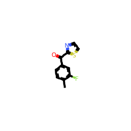 Cc1ccc(C(=O)c2nccs2)cc1F